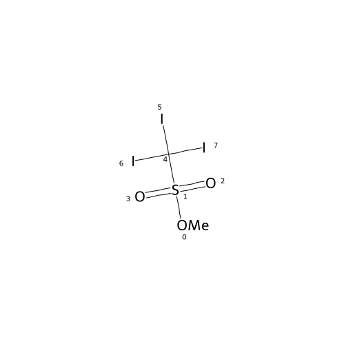 COS(=O)(=O)C(I)(I)I